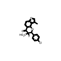 Cc1coc2ccc3c(c12)OC(c1ccc(Cl)cc1)C(F)(C(=O)O)C3=O